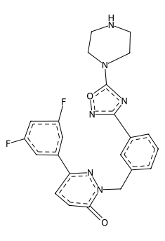 O=c1ccc(-c2cc(F)cc(F)c2)nn1Cc1cccc(-c2noc(N3CCNCC3)n2)c1